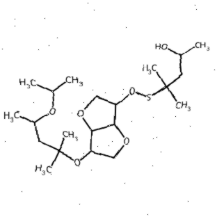 CC(O)CC(C)(C)SOC1COC2C(OC(C)(C)CC(C)OC(C)C)COC12